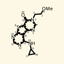 COCCn1cnc2c(sc3ncnc(NC4CC4)c32)c1=O